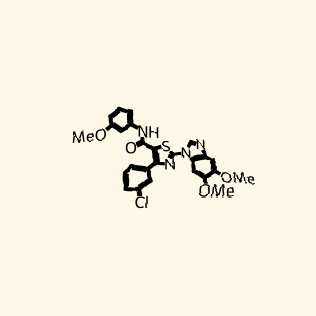 COc1cccc(NC(=O)c2sc(-n3cnc4cc(OC)c(OC)cc43)nc2-c2cccc(Cl)c2)c1